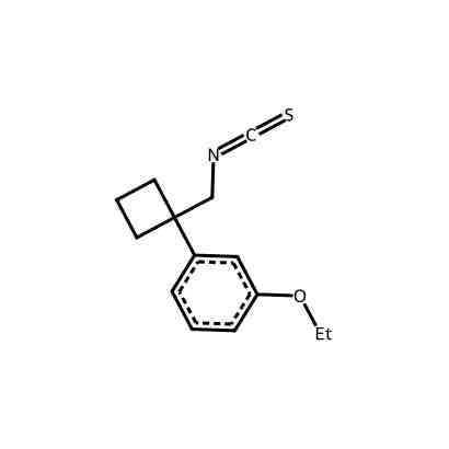 CCOc1cccc(C2(CN=C=S)CCC2)c1